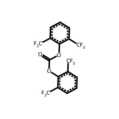 O=C(Oc1c(C(F)(F)F)cccc1C(F)(F)F)Oc1c(C(F)(F)F)cccc1C(F)(F)F